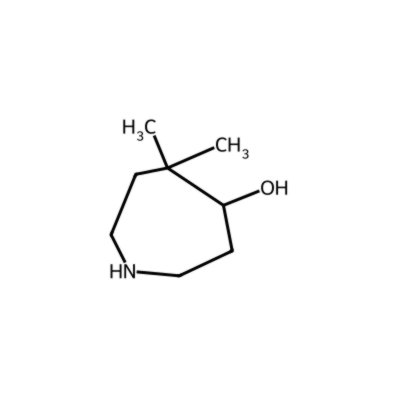 CC1(C)CCNCCC1O